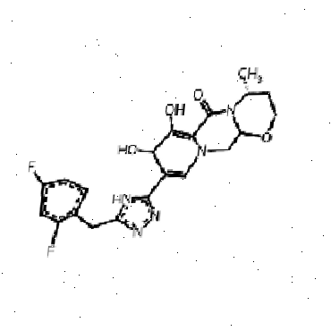 C[C@@H]1CCOC2CN3C=C(c4nnc(Cc5ccc(F)cc5F)[nH]4)C(O)C(O)=C3C(=O)N21